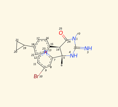 CN1C(=N)N[C@](C)(c2cc(Br)ccn2)[C@@H](c2ccc(C3CC3)cc2)C1=O